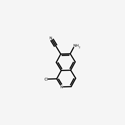 N#Cc1cc2c(Cl)nccc2cc1N